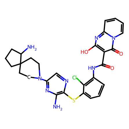 Nc1nc(N2CCC3(CCCC3N)CC2)cnc1Sc1cccc(NC(=O)c2c(O)nc3ccccn3c2=O)c1Cl